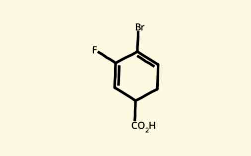 O=C(O)C1C=C(F)C(Br)=CC1